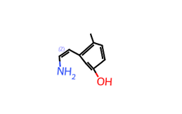 Cc1ccc(O)cc1/C=C\N